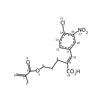 C=C(C)C(=O)OCCCC(=Cc1ccc(Cl)c([N+](=O)[O-])c1)C(=O)O